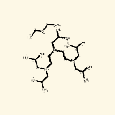 CC(O)CN(CCN(CC(C)O)CC(C)O)CCN(CC(C)O)CC(C)O.CCOCC